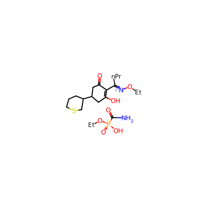 CCC/C(=N\OCC)C1=C(O)CC(C2CCCSC2)CC1=O.CCOP(=O)(O)C(N)=O